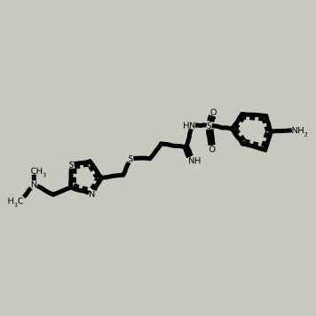 CN(C)Cc1nc(CSCCC(=N)NS(=O)(=O)c2ccc(N)cc2)cs1